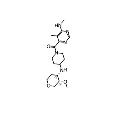 CNc1ncnc(C(=O)N2CCC(N[C@H]3CCOC[C@H]3OC)CC2)c1C